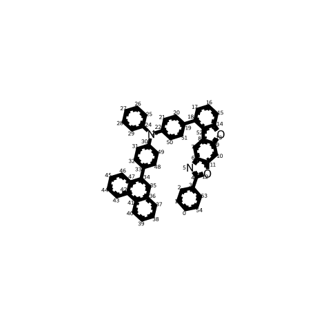 c1ccc(-c2nc3cc4c(cc3o2)oc2cccc(-c3ccc(N(c5ccccc5)c5ccc(-c6cc7ccccc7c7ccccc67)cc5)cc3)c24)cc1